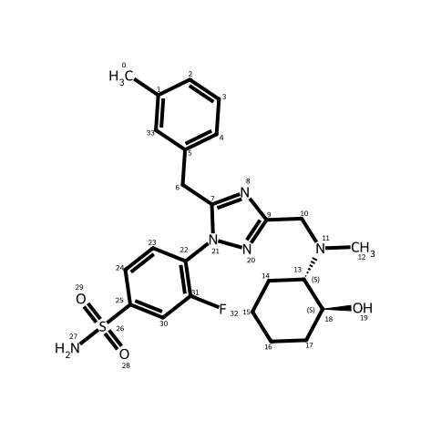 Cc1cccc(Cc2nc(CN(C)[C@H]3CCCC[C@@H]3O)nn2-c2ccc(S(N)(=O)=O)cc2F)c1